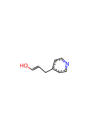 OC=CCc1ccncc1